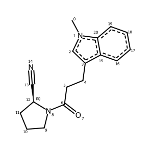 Cn1cc(CCC(=O)N2CCC[C@H]2C#N)c2ccccc21